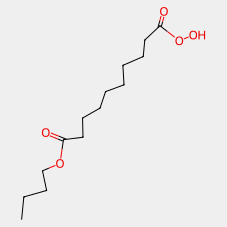 CCCCOC(=O)CCCCCCCCC(=O)OO